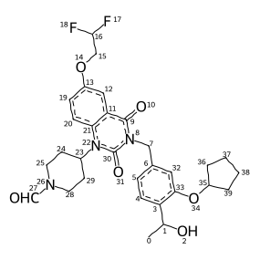 CC(O)c1ccc(Cn2c(=O)c3cc(OCC(F)F)ccc3n(C3CCN(C=O)CC3)c2=O)cc1OC1CCCC1